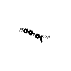 CC#CC(CC(=O)O)c1ccc(OCc2ccc(C3=CCC(O)(O)CC3)cc2)cc1